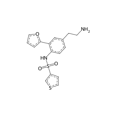 NCCc1ccc(NS(=O)(=O)c2ccsc2)c(-c2ccco2)c1